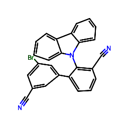 N#Cc1cc(Br)cc(-c2cccc(C#N)c2-n2c3ccccc3c3ccccc32)c1